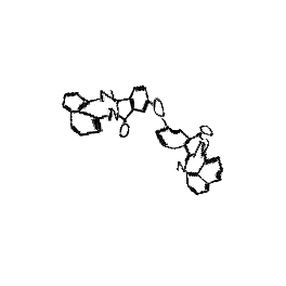 O=C1c2cc(Oc3ccc4c(c3)C(=O)N3C4=Nc4cccc5cccc3c45)ccc2C2=Nc3cccc4cccc(c34)N12